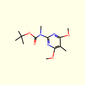 COc1nc(N(C)C(=O)OC(C)(C)C)nc(OC)c1C